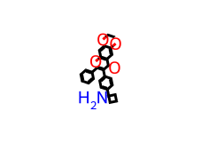 NC1(c2ccc(-c3c(-c4ccccc4)oc4cc5c(cc4c3=O)OCCO5)cc2)CCC1